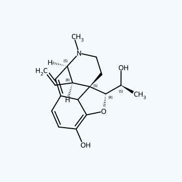 C=C[C@H]1[C@H]2C=C3C=CC(O)=C4O[C@@H]([C@H](C)O)[C@]1(CCN2C)C34